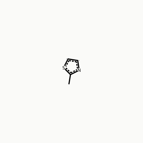 Cc1n[c][c]s1